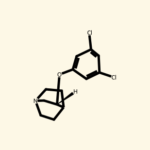 Clc1cc(Cl)cc(O[C@H]2CN3CCC2CC3)c1